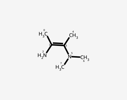 C/C(N)=C(\C)N(C)C